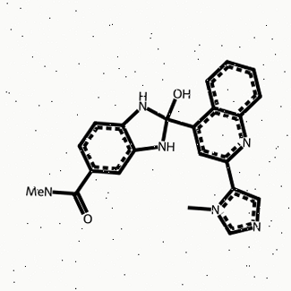 CNC(=O)c1ccc2c(c1)NC(O)(c1cc(-c3cncn3C)nc3ccccc13)N2